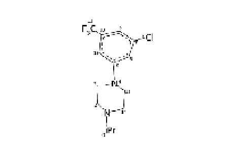 CC(C)N1CCN(c2cc(Cl)cc(C(F)(F)F)c2)CC1